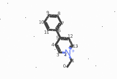 CC[n+]1ccc(-c2ccccc2)cc1